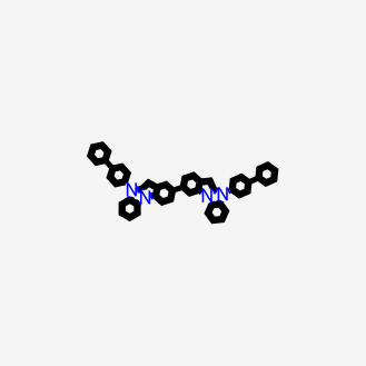 c1ccc(-c2ccc(-n3c4ccccc4n4c5ccc(-c6ccc7cc8n(-c9ccc(-c%10ccccc%10)cc9)c9ccccc9n8c7c6)cc5cc34)cc2)cc1